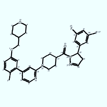 Cc1ccc(OCC2CCOCC2)cc1-c1ccnc(N2CCC(C(=O)N3N=CCC3c3cc(F)cc(F)c3)CC2)c1